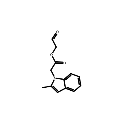 Cc1cc2ccccc2n1CC(=O)OCC=O